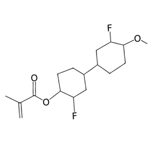 C=C(C)C(=O)OC1CCC(C2CCC(OC)C(F)C2)CC1F